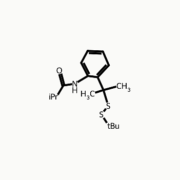 CC(C)C(=O)Nc1ccccc1C(C)(C)SSC(C)(C)C